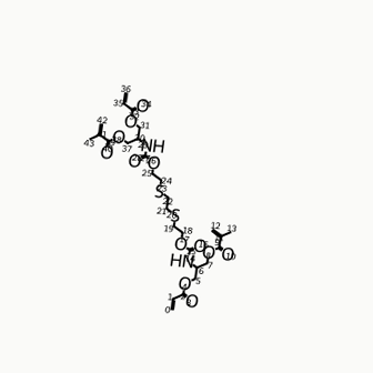 C=CC(=O)OCC(COC(=O)C(=C)C)NC(=O)OCCSCCSCCOC(=O)NC(COC(=O)C=C)COC(=O)C(=C)C